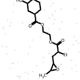 CCC(CC1OC1C)C(=O)OCCOC(=O)C1CCCC(O)C1